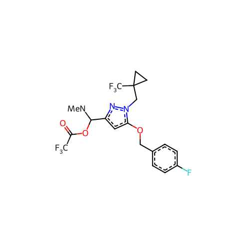 CNC(OC(=O)C(F)(F)F)c1cc(OCc2ccc(F)cc2)n(CC2(C(F)(F)F)CC2)n1